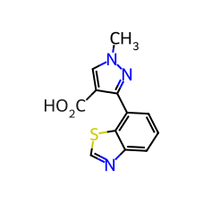 Cn1cc(C(=O)O)c(-c2cccc3ncsc23)n1